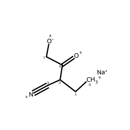 CCC(C#N)C(=O)C[O-].[Na+]